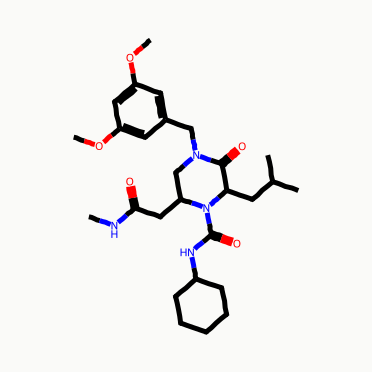 CNC(=O)CC1CN(Cc2cc(OC)cc(OC)c2)C(=O)C(CC(C)C)N1C(=O)NC1CCCCC1